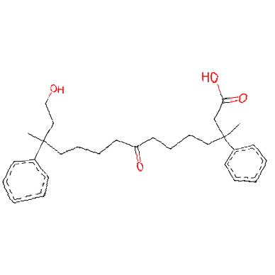 CC(CCO)(CCCCC(=O)CCCCC(C)(CC(=O)O)c1ccccc1)c1ccccc1